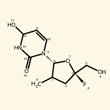 CC1C[C@@](F)(CO)O[C@H]1N1C=CC(O)NC1=O